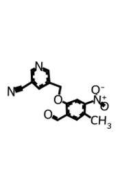 Cc1cc(C=O)c(OCc2cncc(C#N)c2)cc1[N+](=O)[O-]